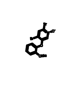 COc1ccccc1Oc1c[n+]([O-])c(Br)cc1Br